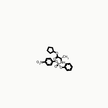 C[C@H](N[P@@](=O)(Oc1ccccc1)Oc1ccc([N+](=O)[O-])cc1)C(=O)OC1CCCC1